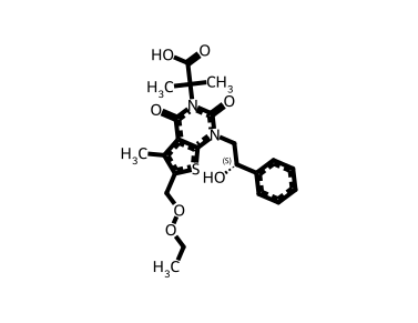 CCOOCc1sc2c(c1C)c(=O)n(C(C)(C)C(=O)O)c(=O)n2C[C@@H](O)c1ccccc1